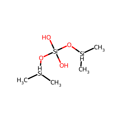 C[SiH](C)O[Si](O)(O)O[SiH](C)C